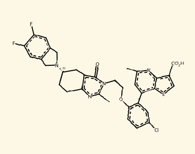 Cc1cc(-c2cc(Cl)ccc2OCCn2c(C)nc3c(c2=O)C[C@@H](N2Cc4cc(F)c(F)cc4C2)CC3)c2scc(C(=O)O)c2n1